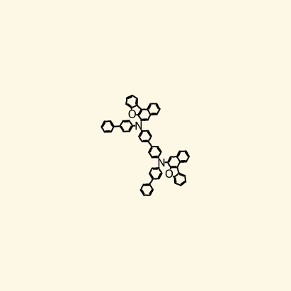 c1ccc(-c2ccc(N(c3ccc(-c4ccc(N(c5ccc(-c6ccccc6)cc5)c5cc6ccccc6c6c5oc5ccccc56)cc4)cc3)c3cc4ccccc4c4c3oc3ccccc34)cc2)cc1